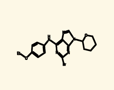 CCOc1ccc(Nc2nc(Br)nc3c2ncn3C2CCCCO2)cc1